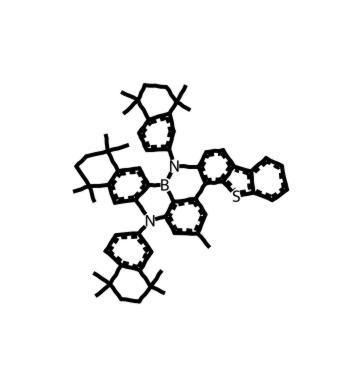 Cc1cc2c3c(c1)N(c1ccc4c(c1)C(C)(C)CCC4(C)C)c1cc4c(cc1B3N(c1ccc3c(c1)C(C)(C)CCC3(C)C)c1ccc3c(sc5ccccc53)c1-2)C(C)(C)CCC4(C)C